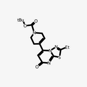 CCc1nn2c(C3=CCN(C(=O)OC(C)(C)C)CC3)cc(=O)nc2s1